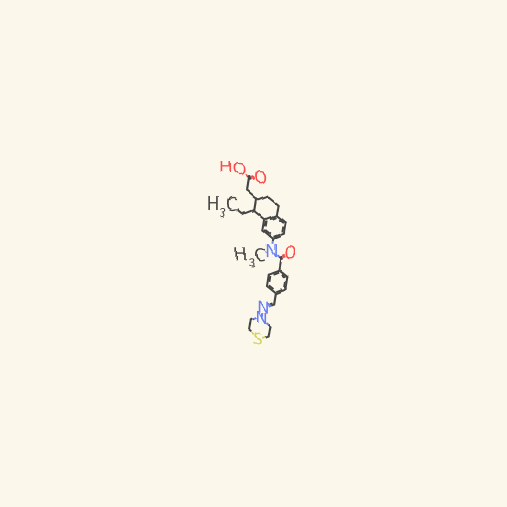 CCC1c2cc(N(C)C(=O)c3ccc(C=NN4CCSCC4)cc3)ccc2CCC1CC(=O)O